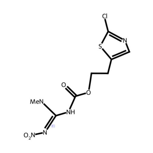 CN/C(=N\[N+](=O)[O-])NC(=O)OCCc1cnc(Cl)s1